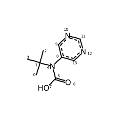 CC(C)(C)N(C(=O)O)c1cncnc1